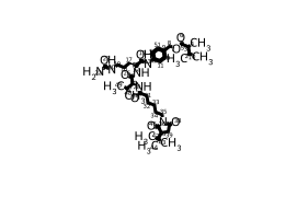 CC(C)C(C)C(=O)OCc1ccc(NC(=O)[C@H](CCCNC(N)=O)NC(=O)[C@@H](NC(=O)CCCCCN2C(=O)CC(C(C)(C)C)C2=O)C(C)C)cc1